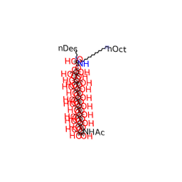 CCCCCCCC/C=C\CCCCCCCCCCCCCC(=O)N[C@@H](CO[C@@H]1OC(CO)[C@@H](O[C@@H]2OC(CO)[C@H](O[C@@H]3OC(CO)[C@H](O)[C@H](O[C@H]4OC(CO)[C@H](O)[C@H](O[C@H]5OC(CO)[C@H](O)[C@H](O[C@H]6OC(CO)[C@H](O)[C@H](O[C@H]7OC(CO)[C@H](O)[C@H](O[C@@H]8OC(CO)[C@H](O)[C@H](O)C8NC(C)=O)C7O)C6O)C5O)C4O)C3O)[C@H](O)C2O)[C@H](O)C1O)[C@H](O)/C=C/CCCCCCCCCCCCC